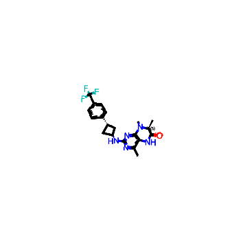 Cc1nc(N[C@H]2C[C@@H](c3ccc(C(F)(F)F)cc3)C2)nc2c1NC(=O)[C@H](C)N2C